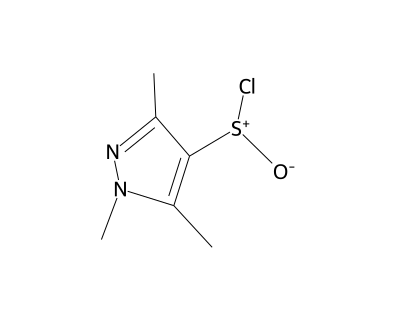 Cc1nn(C)c(C)c1[S+]([O-])Cl